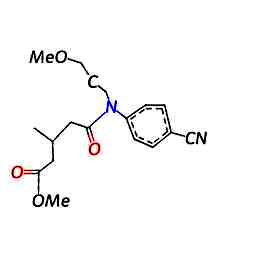 COCCCN(C(=O)CC(C)CC(=O)OC)c1ccc(C#N)cc1